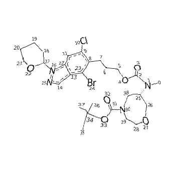 CN(C(=O)OCCCc1c(Cl)cc2c(cnn2C2CCCCO2)c1Br)[C@@H]1COCCN(C(=O)OC(C)(C)C)C1